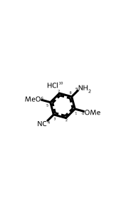 COc1cc(C#N)c(OC)cc1N.Cl